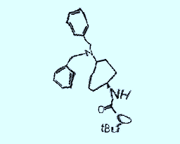 CC(C)(C)OC(=O)N[C@H]1CC[C@@H](N(Cc2ccccc2)Cc2ccccc2)CC1